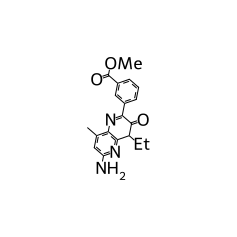 CCC1C(=O)C(c2cccc(C(=O)OC)c2)=Nc2c(C)cc(N)nc21